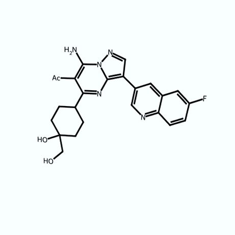 CC(=O)c1c(C2CCC(O)(CO)CC2)nc2c(-c3cnc4ccc(F)cc4c3)cnn2c1N